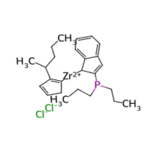 CCCC(C)C1=[C]([Zr+2][CH]2C(P(CCC)CCC)=Cc3ccccc32)CC=C1.[Cl-].[Cl-]